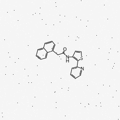 O=C(Cc1cccc2ccccc12)Nc1ccsc1-c1ccccn1